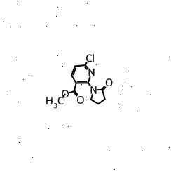 COC(=O)c1ccc(Cl)nc1N1CCCC1=O